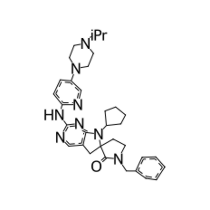 CC(C)N1CCN(c2ccc(Nc3ncc4c(n3)N(C3CCCC3)C3(CCN(Cc5ccccc5)C3=O)C4)nc2)CC1